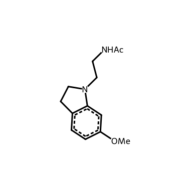 COc1ccc2c(c1)N(CCNC(C)=O)CC2